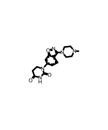 CN1CCN(c2noc3cc(N4CCC(=O)NC4=O)ccc23)CC1